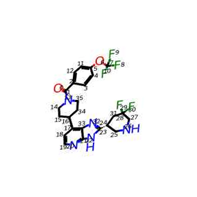 O=C(c1ccc(OC(F)(F)F)cc1)N1CCC(c2ccnc3[nH]c([C@H]4CNCC(F)(F)C4)nc23)CC1